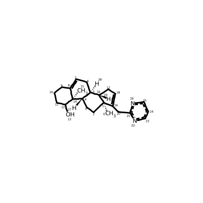 C[C@]12CC[C@H]3[C@@H](CC=C4CCCC(O)[C@@]43C)[C@@H]1CC=C2Cc1ncccn1